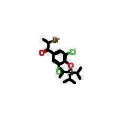 CC(Br)C(=O)c1cc(Cl)c(O[Si](C(C)C)(C(C)C)C(C)C)c(Cl)c1